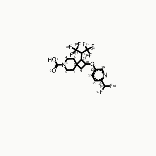 O=C(O)N1CCC2(CC1)CC(Oc1ccc(C(F)F)nc1)C2C(C(F)(F)F)C(F)(F)F